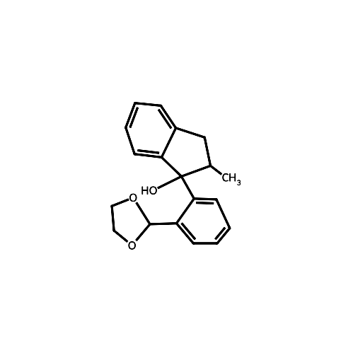 CC1Cc2ccccc2C1(O)c1ccccc1C1OCCO1